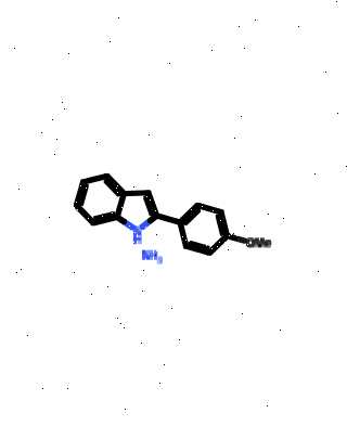 COc1ccc(-c2cc3ccccc3[nH]2)cc1.N